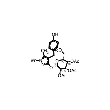 CC(=O)OC[C@H]1O[C@@H](Oc2nn(C(C)C)c(C)c2Cc2ccc(O)cc2)[C@H](OC(C)=O)[C@@H](OC(C)=O)[C@@H]1OC(C)=O